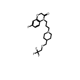 O=C1COc2cc(F)ccc2N1CCCN1CCC(COCC(F)(F)F)CC1